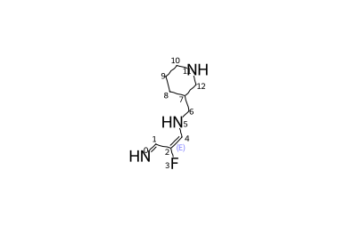 N=C/C(F)=C\NCC1CCCNC1